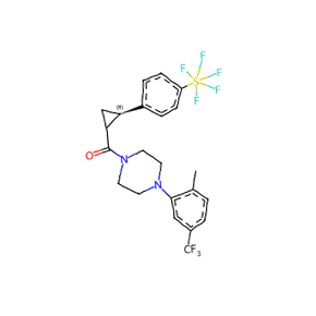 Cc1ccc(C(F)(F)F)cc1N1CCN(C(=O)C2C[C@H]2c2ccc(S(F)(F)(F)(F)F)cc2)CC1